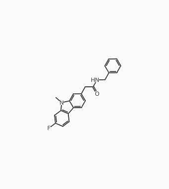 Cn1c2cc(F)ccc2c2ccc(CC(=O)NCc3ccccc3)cc21